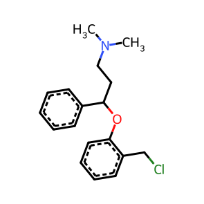 CN(C)CCC(Oc1ccccc1CCl)c1ccccc1